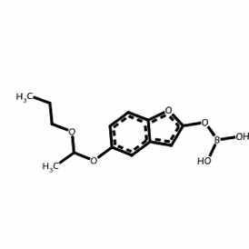 CCCOC(C)Oc1ccc2oc(OB(O)O)cc2c1